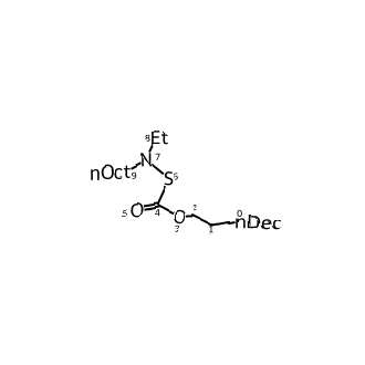 CCCCCCCCCCCCOC(=O)SN(CC)CCCCCCCC